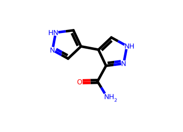 NC(=O)c1n[nH]cc1-c1cn[nH]c1